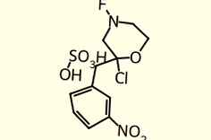 O=S(=O)(O)O.O=[N+]([O-])c1cccc(CC2(Cl)CN(F)CCO2)c1